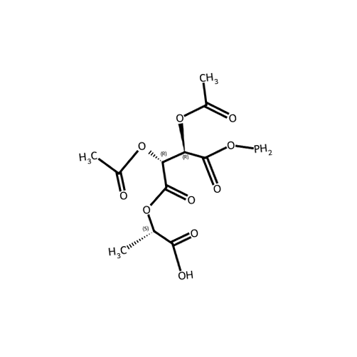 CC(=O)O[C@@H](C(=O)OP)[C@@H](OC(C)=O)C(=O)O[C@@H](C)C(=O)O